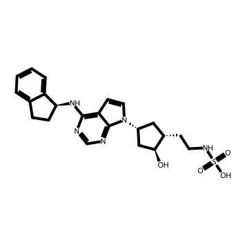 O=S(=O)(O)NCC[C@H]1C[C@@H](n2ccc3c(N[C@H]4CCc5ccccc54)ncnc32)C[C@@H]1O